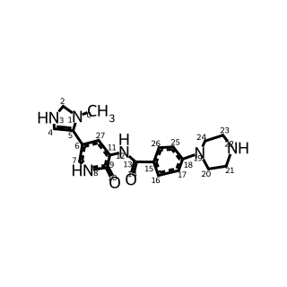 CN1CNC=C1c1c[nH]c(=O)c(NC(=O)c2ccc(N3CCNCC3)cc2)c1